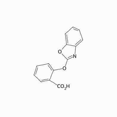 O=C(O)c1ccccc1Oc1nc2ccccc2o1